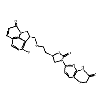 O=C1CSc2ccc(N3C[C@@H](CCNC[C@@H]4Cn5c(=O)ccc6ccc(F)c4c65)OC3=O)nc2N1